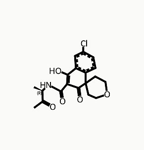 CC(=O)[C@@H](C)NC(=O)C1=C(O)c2cc(Cl)ccc2C2(CCOCC2)C1=O